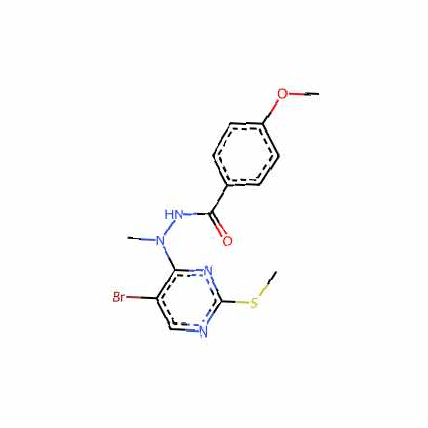 COc1ccc(C(=O)NN(C)c2nc(SC)ncc2Br)cc1